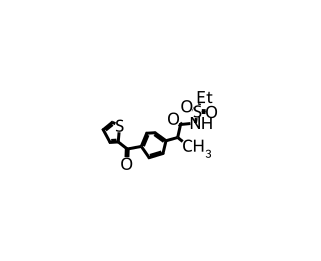 CCS(=O)(=O)NC(=O)C(C)c1ccc(C(=O)c2cccs2)cc1